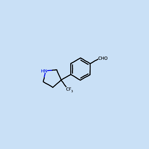 O=Cc1ccc(C2(C(F)(F)F)CCNC2)cc1